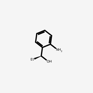 CC[C@H](O)c1ccccc1N